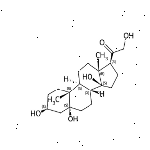 C[C@]12CC[C@H](O)C[C@@]1(O)CC[C@@H]1[C@@H]2CC[C@]2(C)[C@@H](C(=O)CO)CC[C@]12O